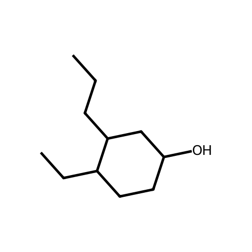 CCCC1CC(O)CCC1CC